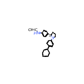 O=CNc1ccc([C@H]2CCCN2c2ccc(C3CCCCC3)cc2)cc1